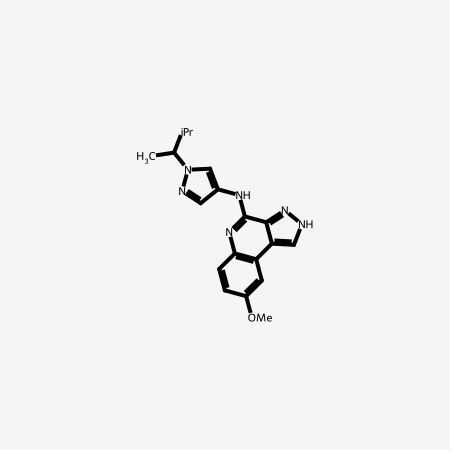 COc1ccc2nc(Nc3cnn(C(C)C(C)C)c3)c3n[nH]cc3c2c1